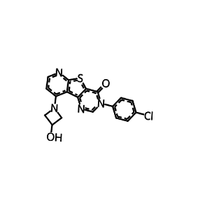 O=c1c2sc3nccc(N4CC(O)C4)c3c2ncn1-c1ccc(Cl)cc1